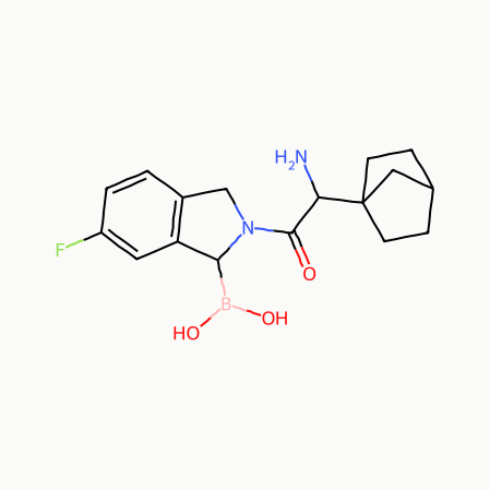 NC(C(=O)N1Cc2ccc(F)cc2C1B(O)O)C12CCC(CC1)C2